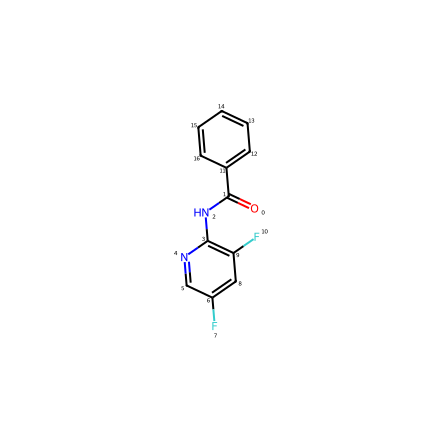 O=C(Nc1ncc(F)cc1F)c1ccccc1